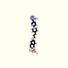 CS(=O)(=O)N1CCc2cc(OCCCC3CCN(c4ccc(-c5nnn[nH]5)cn4)CC3)ccc2C1